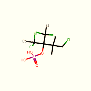 CCC(Cl)(Cl)C(OP(=O)(O)O)(C(C)(C)CCl)C(Cl)(Cl)CC